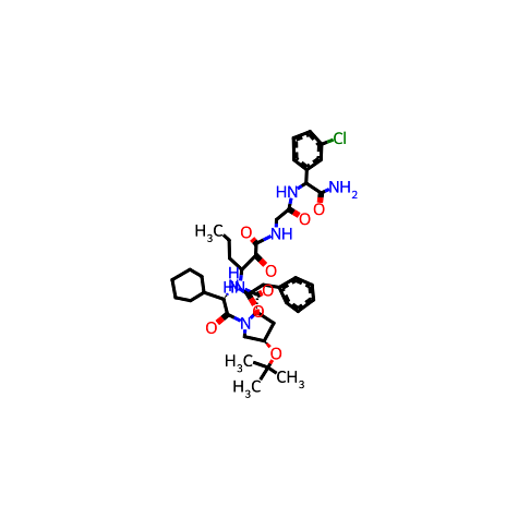 CCCC(NC(=O)[C@@H]1C[C@@H](OC(C)(C)C)CN1C(=O)[C@@H](NC(=O)Cc1ccccc1)C1CCCCC1)C(=O)C(=O)NCC(=O)NC(C(N)=O)c1cccc(Cl)c1